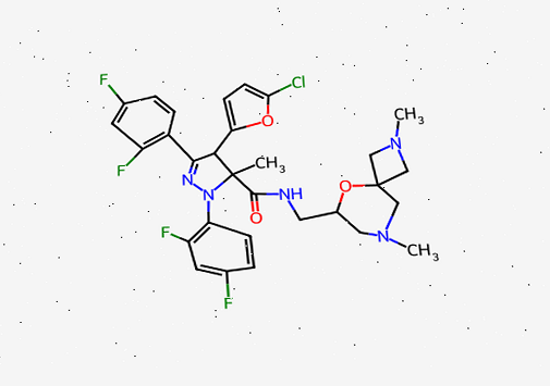 CN1CC(CNC(=O)C2(C)C(c3ccc(Cl)o3)C(c3ccc(F)cc3F)=NN2c2ccc(F)cc2F)OC2(C1)CN(C)C2